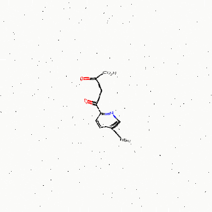 CCCCc1ccc(C(=O)CC(=O)C(=O)O)nc1